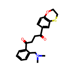 CN(C)Cc1ccccc1C(=O)CCC(=O)c1ccc2c(c1)SCCO2